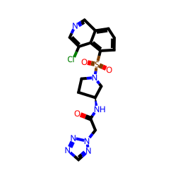 O=C(Cn1ncnn1)N[C@H]1CCN(S(=O)(=O)c2cccc3cncc(Cl)c23)C1